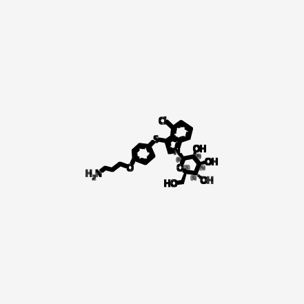 NCCCOc1ccc(Sc2cn([C@@H]3O[C@H](CO)[C@@H](O)[C@H](O)[C@H]3O)c3cccc(Cl)c23)cc1